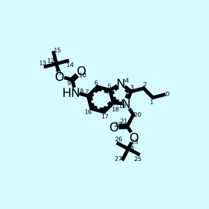 CCCc1nc2cc(NC(=O)OC(C)(C)C)ccc2n1CC(=O)OC(C)(C)C